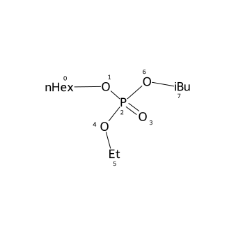 CCCCCCOP(=O)(OCC)OC(C)CC